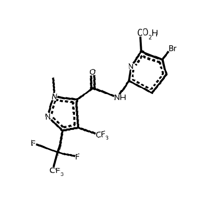 Cn1nc(C(F)(F)C(F)(F)F)c(C(F)(F)F)c1C(=O)Nc1ccc(Br)c(C(=O)O)n1